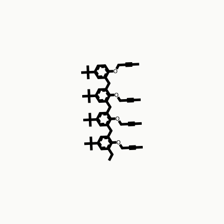 CC#CCOc1ccc(C(C)(C)C)cc1Cc1cc(C(C)(C)C)cc(Cc2cc(C(C)(C)C)cc(Cc3cc(C(C)(C)C)cc(CC)c3OCC#CC)c2OCC#CC)c1OCC#CC